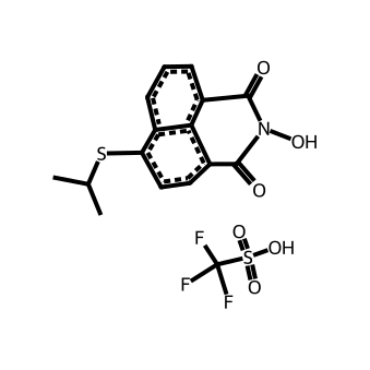 CC(C)Sc1ccc2c3c(cccc13)C(=O)N(O)C2=O.O=S(=O)(O)C(F)(F)F